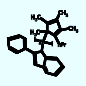 CCCC1=C(C)C(C)=C(C)[C]1(C)[Zr]([I])([I])[CH]1C(c2ccccc2)=Cc2ccccc21